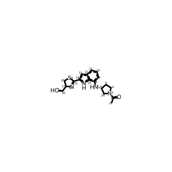 CC(=O)N1CC[C@@H](Nc2cccc3cc(C4=NC(CO)CS4)[nH]c23)C1